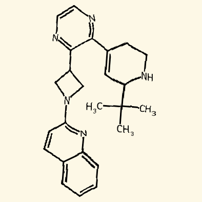 CC(C)(C)C1C=C(c2nccnc2C2CN(c3ccc4ccccc4n3)C2)CCN1